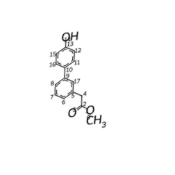 COC(=O)Cc1cccc(-c2ccc(O)cc2)c1